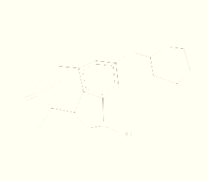 Cc1cc(OC2CCCCO2)cc2c1C(C(C)S(=O)(=O)O)OB2O